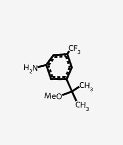 COC(C)(C)c1cc(N)cc(C(F)(F)F)c1